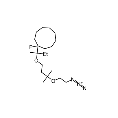 CCC(C)(OCCC(C)(C)OCCN=[N+]=[N-])C1(F)CCCCCCCC1